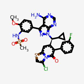 COc1ccc(-c2nn([C@H](c3cc4scc(Cl)n4c(=O)c3-c3cccc(F)c3)C3CC3)c3ncnc(N)c23)cc1NS(C)(=O)=O